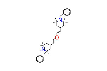 CC1(C)CC(C=COC=CC2CC(C)(C)N(Cc3ccccc3)C(C)(C)C2)CC(C)(C)N1Cc1ccccc1